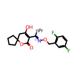 CCC/C(=N\OCc1cc(F)ccc1F)C1=C(O)CC2(CCCC2)OC1=O